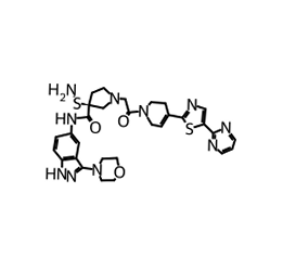 NS[C@@]1(C(=O)Nc2ccc3[nH]nc(N4CCOCC4)c3c2)CCN(CC(=O)N2CC=C(c3ncc(-c4ncccn4)s3)CC2)C1